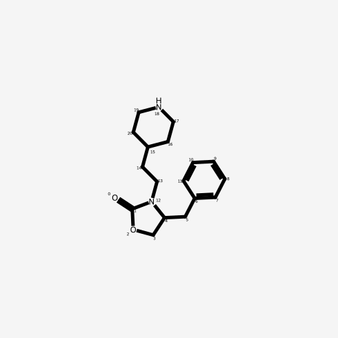 O=C1OCC(Cc2ccccc2)N1CCC1CCNCC1